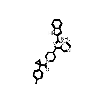 Cc1ccc(C2(C(=O)N3CCC(C4=C5C=NC=C[N+]5(N)C(c5cc6ccccc6[nH]5)=N4)CC3)CC2)cc1